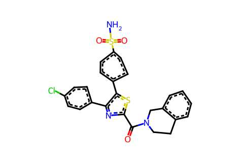 NS(=O)(=O)c1ccc(-c2sc(C(=O)N3CCc4ccccc4C3)nc2-c2ccc(Cl)cc2)cc1